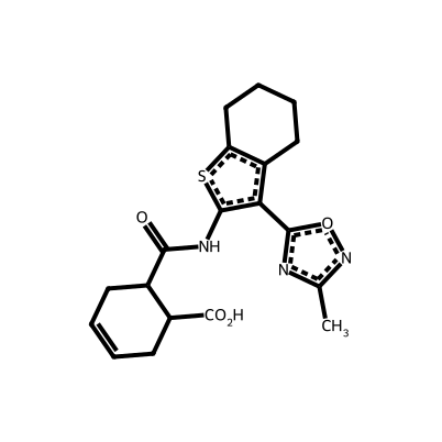 Cc1noc(-c2c(NC(=O)C3CC=CCC3C(=O)O)sc3c2CCCC3)n1